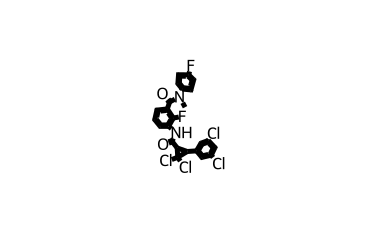 CN(C(=O)c1cccc(NC(=O)C2C(c3cc(Cl)cc(Cl)c3)C2(Cl)Cl)c1F)c1ccc(F)cc1